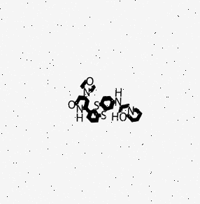 O=c1cc(N2CCOCC2)cc(-c2cccc3c2Sc2ccc(NC(CO)CN4CCCCC4)cc2S3)[nH]1